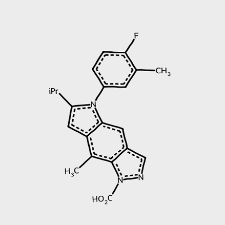 Cc1cc(-n2c(C(C)C)cc3c(C)c4c(cnn4C(=O)O)cc32)ccc1F